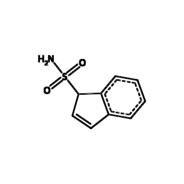 NS(=O)(=O)C1C=Cc2ccccc21